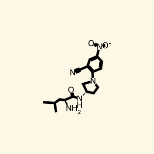 CC(C)C[C@H](N)C(=O)N[C@H]1CCN(c2ccc([N+](=O)[O-])cc2C#N)C1